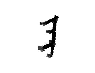 CCCCCCCCC(CCCCCCCC)OC(=O)CCCCCCCN(CCO)CCCCCCCC(=O)OC(CCCCCCCC)C1CC1